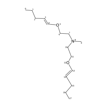 CCCC=COCCN(C)CCOC=CCCC